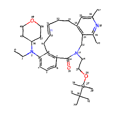 CCN(c1cccc2c1C/C=C/CCc1cc(C)nc(C)c1CN(CCO[Si](C)(C)C(C)(C)C)C2=O)C1CCOCC1